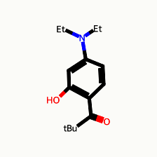 CCN(CC)c1ccc(C(=O)C(C)(C)C)c(O)c1